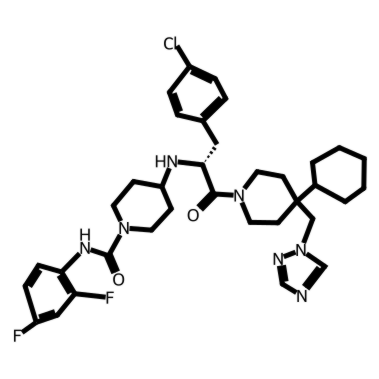 O=C(Nc1ccc(F)cc1F)N1CCC(N[C@H](Cc2ccc(Cl)cc2)C(=O)N2CCC(Cn3cncn3)(C3CCCCC3)CC2)CC1